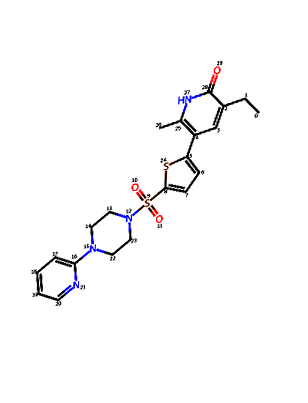 CCc1cc(-c2ccc(S(=O)(=O)N3CCN(c4ccccn4)CC3)s2)c(C)[nH]c1=O